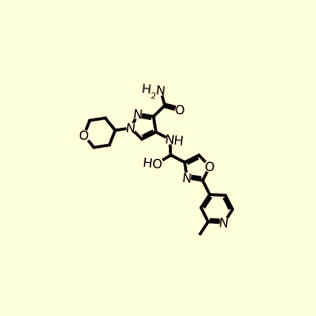 Cc1cc(-c2nc(C(O)Nc3cn(C4CCOCC4)nc3C(N)=O)co2)ccn1